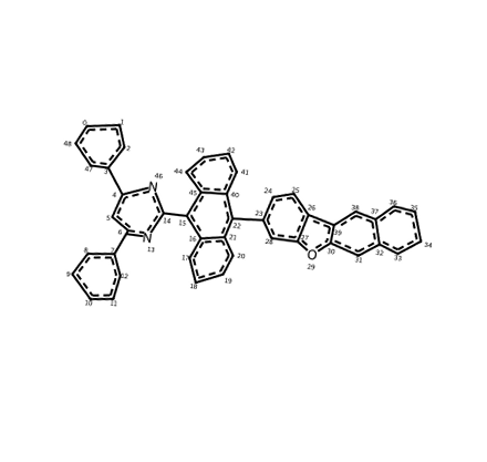 c1ccc(-c2cc(-c3ccccc3)nc(-c3c4ccccc4c(-c4ccc5c(c4)oc4cc6ccccc6cc45)c4ccccc34)n2)cc1